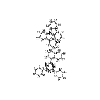 c1ccc(-c2nc(-c3ccccc3)nc(-c3ccc(-c4cccc(-c5ccccc5-n5c6ccccc6c6ccccc65)c4)c4ccccc34)n2)cc1